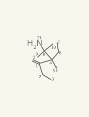 C=C(CC)C(I)(CC)C(C)(C)N